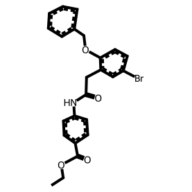 CCOC(=O)c1ccc(NC(=O)Cc2cc(Br)ccc2OCc2ccccc2)cc1